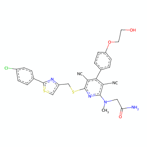 [C-]#[N+]c1c(N(C)CC(N)=O)nc(SCc2csc(-c3ccc(Cl)cc3)n2)c(C#N)c1-c1ccc(OCCO)cc1